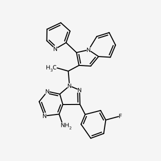 CC(c1cc2ccccn2c1-c1ccccn1)n1nc(-c2cccc(F)c2)c2c(N)ncnc21